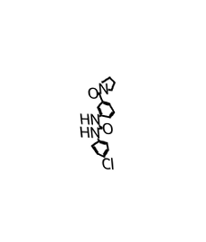 O=C(Nc1ccc(Cl)cc1)Nc1cccc(C(=O)N2CCCC2)c1